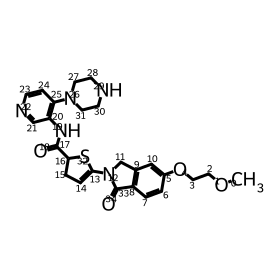 COCCOc1ccc2c(c1)CN(C1=CCC(C(=O)Nc3cnccc3N3CCNCC3)S1)C2=O